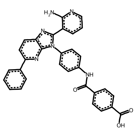 Nc1ncccc1-c1nc2ccc(-c3ccccc3)nc2n1-c1ccc(NC(=O)c2ccc(C(=O)O)cc2)cc1